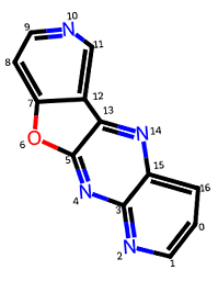 c1cnc2nc3oc4ccncc4c3nc2c1